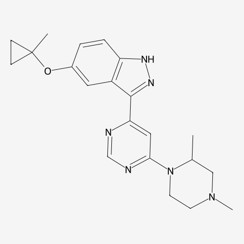 CC1CN(C)CCN1c1cc(-c2n[nH]c3ccc(OC4(C)CC4)cc23)ncn1